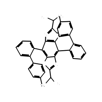 N#CC(C#N)c1nc2c(-c3ccccc3-c3ccc(C(F)(F)F)cc3)c3oc(C(C#N)C#N)nc3c(-c3ccccc3-c3ccc(C(F)(F)F)cc3)c2o1